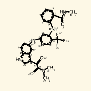 CNC(=O)c1ccccc1Nc1cc(Nc2ccc3[nH]cc(C(=O)C(=O)N(C)C)c3c2)ncc1C(F)(F)F